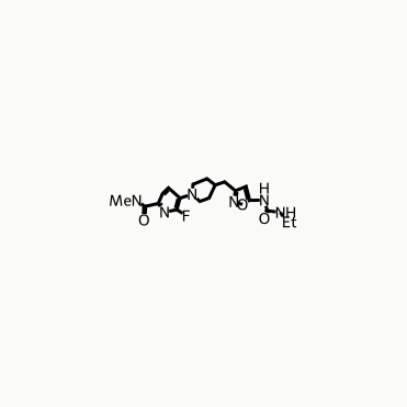 CCNC(=O)Nc1cc(CC2CCN(c3ccc(C(=O)NC)nc3F)CC2)no1